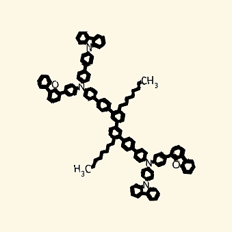 CCCCCCCCc1ccc(-c2ccc(CCCCCCCC)c(-c3ccc(-c4ccc(N(c5ccc(-c6cccc7c6oc6ccccc67)cc5)c5ccc(-n6c7ccccc7c7ccccc76)cc5)cc4)cc3)c2)cc1-c1ccc(-c2ccc(N(c3ccc(-c4ccc(-n5c6ccccc6c6ccccc65)cc4)cc3)c3ccc(-c4cccc5c4oc4ccccc45)cc3)cc2)cc1